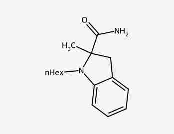 CCCCCCN1c2ccccc2CC1(C)C(N)=O